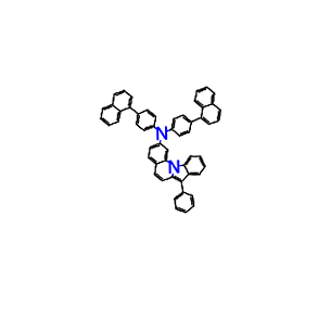 c1ccc(-c2c3ccccc3n3c2ccc2ccc(N(c4ccc(-c5cccc6ccccc56)cc4)c4ccc(-c5cccc6ccccc56)cc4)cc23)cc1